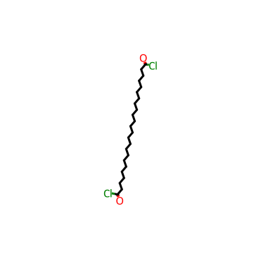 O=C(Cl)CCCCCCCCCCCCCCCCCCCCCCC(=O)Cl